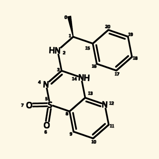 C[C@H](NC1=NS(=O)(=O)c2cccnc2N1)c1ccccc1